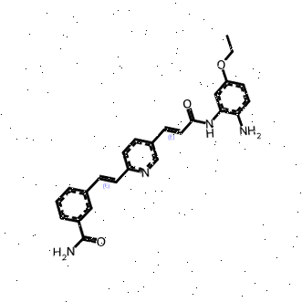 CCOc1ccc(N)c(NC(=O)/C=C/c2ccc(/C=C/c3cccc(C(N)=O)c3)nc2)c1